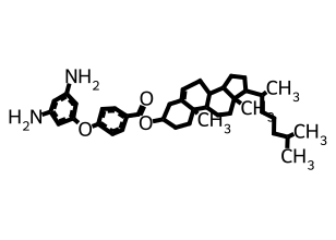 CC(C)CCCC(C)C1CCC2C3CC=C4CC(OC(=O)c5ccc(Oc6cc(N)cc(N)c6)cc5)CCC4(C)C3CCC12C